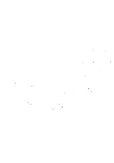 c1cnc2[nH]c(-c3cc(-c4cncc(CN5CCCC5)c4)[nH]n3)nc2c1